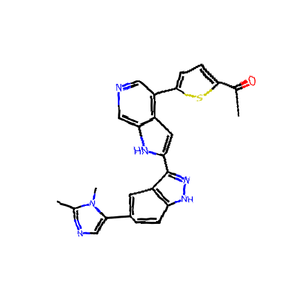 CC(=O)c1ccc(-c2cncc3[nH]c(-c4n[nH]c5ccc(-c6cnc(C)n6C)cc45)cc23)s1